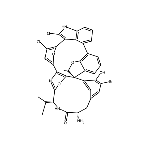 CC(C)[C@@H]1NC(=O)[C@@H](N)Cc2cc(Br)c(O)c(c2)[C@]23c4cccc(c4OC2C)-c2cccc4[nH]c(Cl)c(c24)-c2oc(nc2Cl)-c2nc1oc23